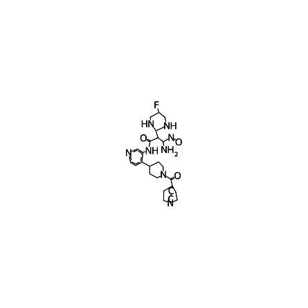 NC(N=O)C(C(=O)Nc1cnccc1C1CCN(C(=O)C23CCN(CC2)CC3)CC1)C1NCC(F)CN1